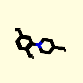 CC1CCN(c2cc(C#N)ccc2C(F)(F)F)CC1